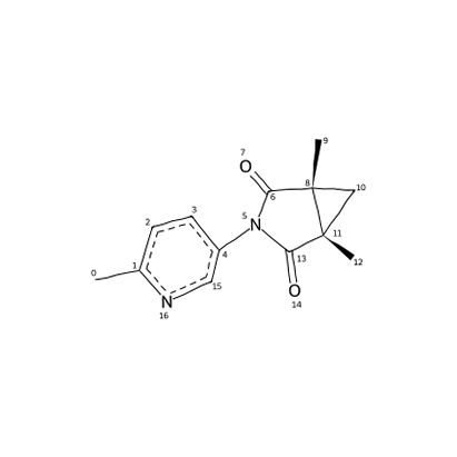 Cc1ccc(N2C(=O)[C@]3(C)C[C@]3(C)C2=O)cn1